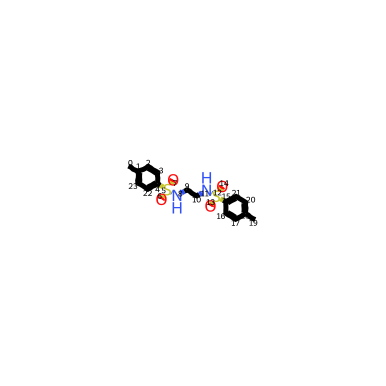 Cc1ccc(S(=O)(=O)NCCNS(=O)(=O)c2ccc(C)cc2)cc1